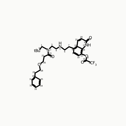 CC(C)(C)CN(CCNCCc1ccc(OC(=O)C(F)(F)F)c2[nH]c(=O)ccc12)C(=O)CCOCCc1ccccc1